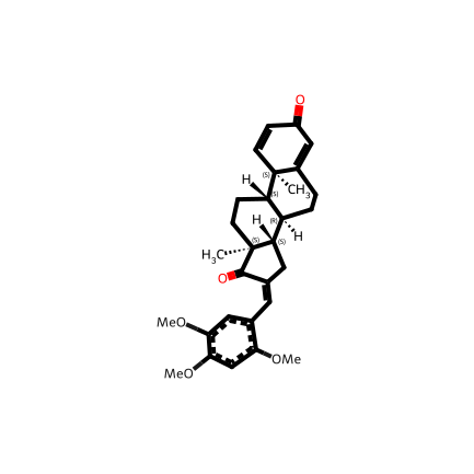 COc1cc(OC)c(OC)cc1C=C1C[C@H]2[C@@H]3CCC4=CC(=O)C=C[C@]4(C)[C@H]3CC[C@]2(C)C1=O